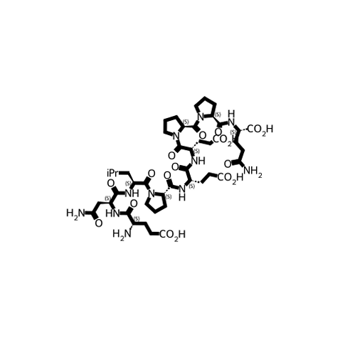 CC(C)C[C@H](NC(=O)[C@H](CC(N)=O)NC(=O)[C@@H](N)CCC(=O)O)C(=O)N1CCC[C@H]1C(=O)N[C@@H](CCC(=O)O)C(=O)N[C@@H](CCC(=O)O)C(=O)N1CCC[C@H]1C(=O)N1CCC[C@H]1C(=O)N[C@@H](CCC(N)=O)C(=O)O